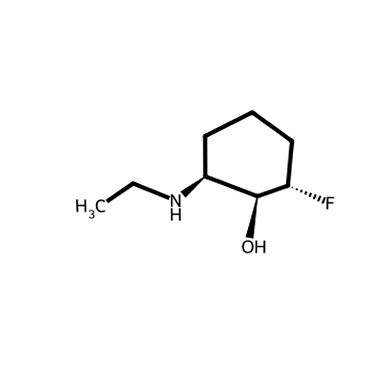 CCN[C@H]1CCC[C@H](F)[C@H]1O